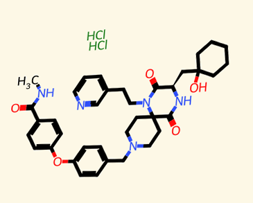 CNC(=O)c1ccc(Oc2ccc(CN3CCC4(CC3)C(=O)N[C@H](CC3(O)CCCCC3)C(=O)N4CCc3cccnc3)cc2)cc1.Cl.Cl